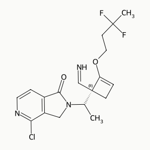 CC(N1Cc2c(ccnc2Cl)C1=O)[C@@]1(C=N)CC=C1OCCC(C)(F)F